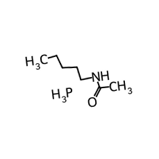 CCCCCNC(C)=O.P